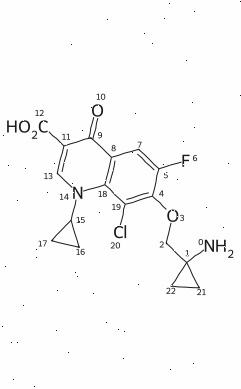 NC1(COc2c(F)cc3c(=O)c(C(=O)O)cn(C4CC4)c3c2Cl)CC1